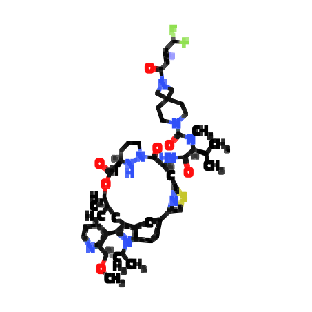 CCn1c(-c2cccnc2[C@H](C)OC)c2c3cc(ccc31)-c1csc(n1)C[C@H](NC(=O)[C@H](C(C)C)N(C)C(=O)N1CCC3(CC1)CN(C(=O)/C=C/C(F)F)C3)C(=O)N1CCC[C@H](N1)C(=O)OCC(C)(C)C2